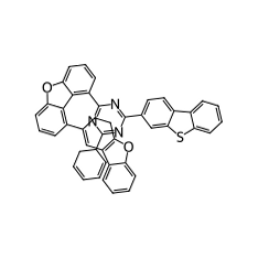 C1=CCC(c2nc(-c3ccc4c(c3)sc3ccccc34)nc(-c3cccc4oc5cccc(C6=Cc7c(oc8ccccc78)CC6)c5c34)n2)C=C1